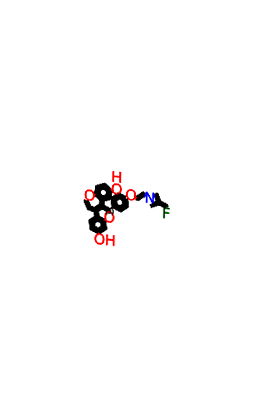 Oc1ccc2c(c1)O[C@@H](c1ccc(OCCN3CC(CF)C3)cc1)C1=C2CCOc2ccc(O)cc21